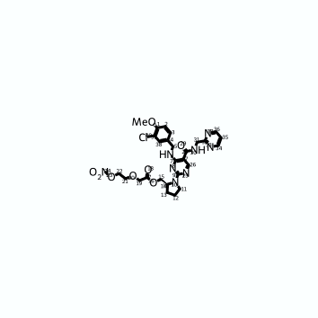 COc1ccc(CNc2nc(N3CCC[C@H]3COC(=O)COCCO[N+](=O)[O-])ncc2C(=O)NCc2ncccn2)cc1Cl